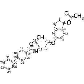 CC(=O)OC1CCc2cc(OCCc3nc(-c4ccc(-c5ccccc5)cc4)oc3C)ccc21